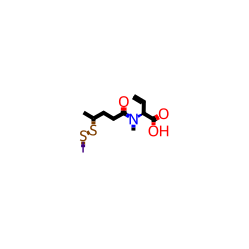 C=C[C@@H](C(=O)O)N(C)C(=O)CCC(C)SSI